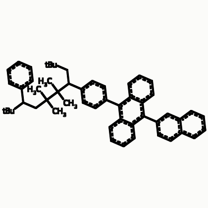 CC(C)(C)CC(c1ccc(-c2c3ccccc3c(-c3ccc4ccccc4c3)c3ccccc23)cc1)C(C)(C)C(C)(C)CC(c1ccccc1)C(C)(C)C